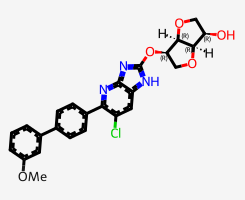 COc1cccc(-c2ccc(-c3nc4nc(O[C@@H]5CO[C@H]6[C@@H]5OC[C@H]6O)[nH]c4cc3Cl)cc2)c1